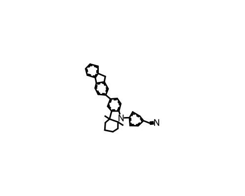 CC12CCCCC1(C)N(c1ccc(C#N)cc1)c1ccc(-c3ccc4c(c3)Cc3ccccc3-4)cc12